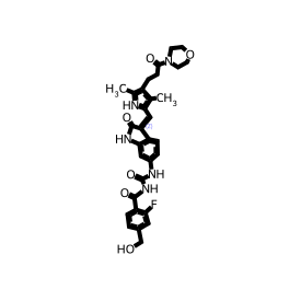 Cc1[nH]c(/C=C2\C(=O)Nc3cc(NC(=O)NC(=O)c4ccc(CO)cc4F)ccc32)c(C)c1CCC(=O)N1CCOCC1